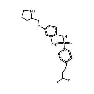 Cc1nc(OCC2CCCN2)ccc1NS(=O)(=O)c1ccc(OCC(F)F)cc1